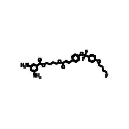 Nc1cc(N)cc(C(=O)OCCCCOC(=O)C=Cc2ccc(OC(F)(F)c3ccc(OCCCCF)cc3)cc2)c1